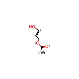 CCCC(=O)OCC=CO